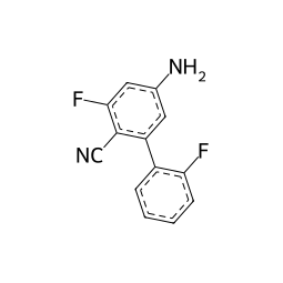 N#Cc1c(F)cc(N)cc1-c1ccccc1F